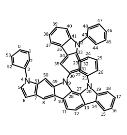 c1ccc(-n2ccc3cc4c5ccc6c7ccccc7n(-c7ccccc7)c6c5n(-c5ccc6c(c5)c5ccccc5n6-c5ccccc5)c4cc32)cc1